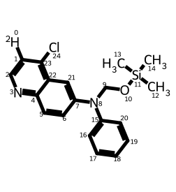 [2H]c1cnc2ccc(N(CO[Si](C)(C)C)c3ccccc3)cc2c1Cl